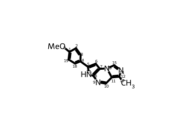 COc1ccc(-c2cc3c(ncc4c(C)ncn43)[nH]2)cc1